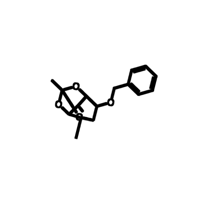 CC1C2OC3(C)OC1C(OCc1ccccc1)C(O3)C2C